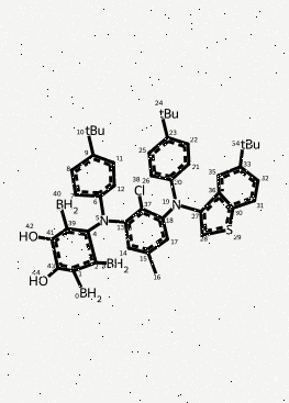 Bc1c(B)c(N(c2ccc(C(C)(C)C)cc2)c2cc(C)cc(N(c3ccc(C(C)(C)C)cc3)c3csc4ccc(C(C)(C)C)cc34)c2Cl)c(B)c(O)c1O